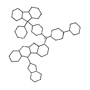 C1CCC(C2CCC(N(C3CCC(C4(C5CCCCC5)C5CCCCC5C5CCCCC54)CC3)C3CCCC4C3CC3CC5CCCCC5C(C5CC6CCCCC6C5)C34)CC2)CC1